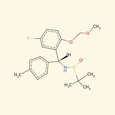 [2H][C@@](N[S@+]([O-])C(C)(C)C)(c1ccc(C)cc1)c1cc(F)ccc1OCOC